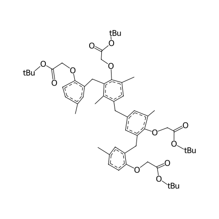 Cc1ccc(OCC(=O)OC(C)(C)C)c(Cc2cc(Cc3cc(C)c(OCC(=O)OC(C)(C)C)c(Cc4cc(C)ccc4OCC(=O)OC(C)(C)C)c3C)cc(C)c2OCC(=O)OC(C)(C)C)c1